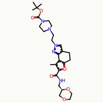 Cc1c(C(=O)NC[C@@H]2COCCO2)oc2c1-c1nn(CCN3CCN(C(=O)OC(C)(C)C)CC3)cc1CC2